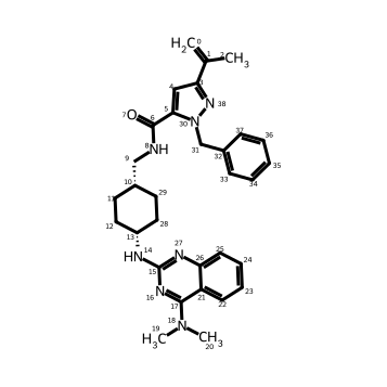 C=C(C)c1cc(C(=O)NC[C@H]2CC[C@@H](Nc3nc(N(C)C)c4ccccc4n3)CC2)n(Cc2ccccc2)n1